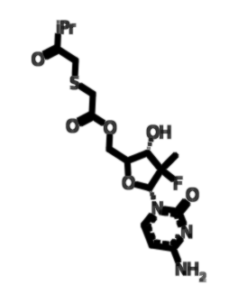 CC(C)C(=O)CSCC(=O)OCC1O[C@@H](n2ccc(N)nc2=O)C(C)(F)[C@H]1O